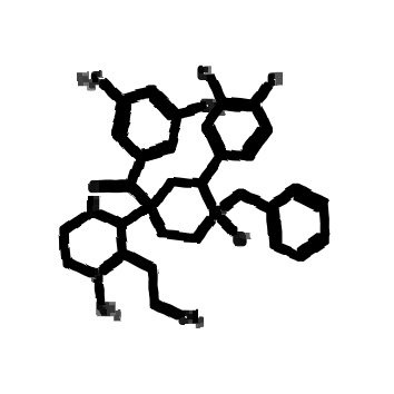 CCCC1C(C2(C(=O)c3cc(C)cc(C)c3)CC[N+]([O-])(Cc3ccccc3)C(c3ccc(Cl)c(Cl)c3)C2)NCCN1N